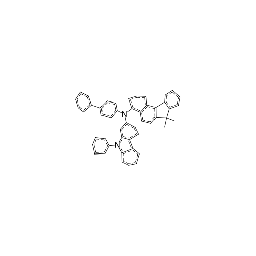 CC1(C)c2ccccc2-c2c1ccc1c(N(c3ccc(-c4ccccc4)cc3)c3ccc4c5ccccc5n(-c5ccccc5)c4c3)cccc21